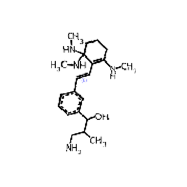 CNC1=C(/C=C/c2cccc(C(O)C(C)CN)c2)C(NC)(NC)CCC1